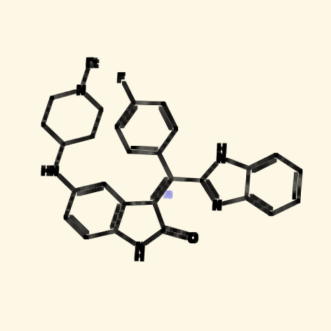 CCN1CCC(Nc2ccc3c(c2)/C(=C(\c2ccc(F)cc2)c2nc4ccccc4[nH]2)C(=O)N3)CC1